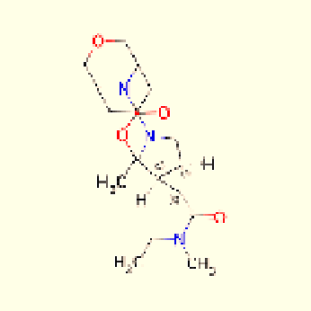 CCOC(=O)N1C2COCC1CC(N1C[C@@H]3[C@H](C1)[C@H]3C(=O)N(C)CC)C2